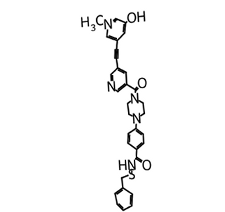 C[n+]1cc(O)cc(C#Cc2cncc(C(=O)N3CCN(c4ccc(C(=O)NSCc5ccccc5)cc4)CC3)c2)c1